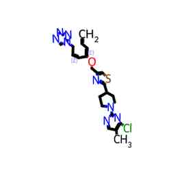 C=C/C=C(\C=C/Cn1cnnn1)OCc1csc(C2CCN(c3ncc(C)c(Cl)n3)CC2)n1